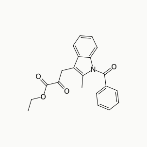 CCOC(=O)C(=O)Cc1c(C)n(C(=O)c2ccccc2)c2ccccc12